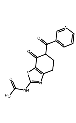 O=C(O)Nc1nc2c(s1)C(=O)C(C(=O)c1cccnc1)CC2